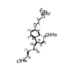 CCCCOCCOc1ccc(C(/C=C\COC)=C/C(C)/C=C/C=O)cc1